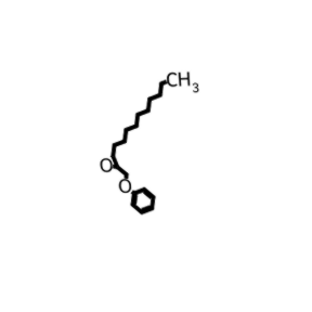 CCCCCCCCCCC1OC1COc1ccccc1